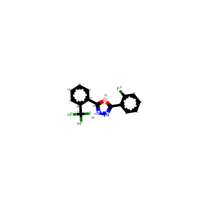 Fc1ccccc1-c1nnc(-c2ccccc2C(F)(F)F)o1